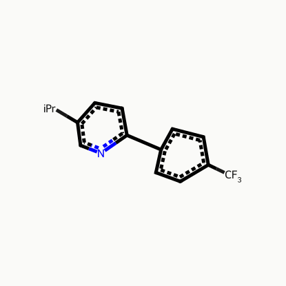 CC(C)c1ccc(-c2ccc(C(F)(F)F)cc2)nc1